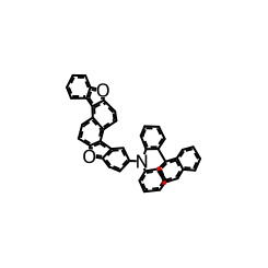 c1ccc(N(c2ccc3oc4ccc5c(ccc6oc7ccccc7c65)c4c3c2)c2ccccc2-c2cccc3ccccc23)cc1